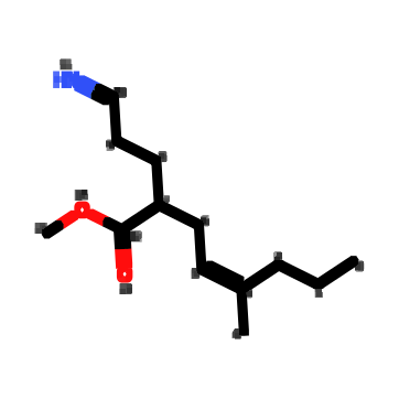 CCC/C(C)=C\CC(CCC=N)C(=O)OC